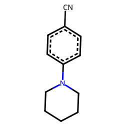 N#Cc1ccc(N2CCCCC2)cc1